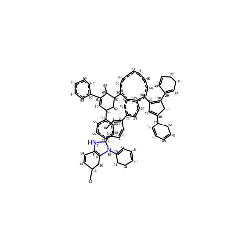 C/C=C(\C=C/CC1NC2=C(CC(C)C=C2)N1C1=CC=CCC1)c1ccc2c(C3=C(C4=CCCC=C4)CC(C4C=CC=CC4)=C3)ccccccc(C3CC(c4ccccc4)C=C(c4ccccc4)C3C)c2c1